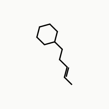 C/C=C/CC[C]1CCCCC1